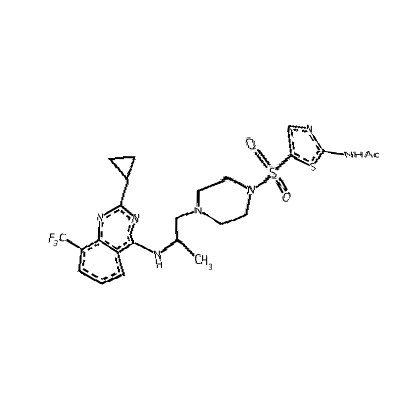 CC(=O)Nc1ncc(S(=O)(=O)N2CCN(CC(C)Nc3nc(C4CC4)nc4c(C(F)(F)F)cccc34)CC2)s1